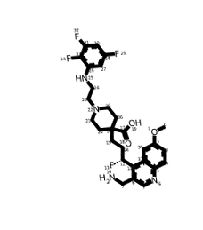 COc1ccc2ncc(CN)c([C@H](F)CCC3(C(=O)O)CCN(CCNc4cc(F)cc(F)c4F)CC3)c2c1